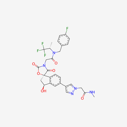 CNC(=O)Cn1cc(-c2ccc3c(c2)[C@@H](O)C[C@@]32OC(=O)N(CC(=O)N(Cc3ccc(F)cc3)[C@@H](C)C(F)(F)F)C2=O)cn1